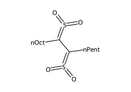 CCCCCCCCC(C(CCCCC)=S(=O)=O)=S(=O)=O